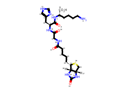 NCCCC[C@H](NC(=O)[C@H](Cc1c[nH]cn1)NC(=O)CNC(=O)CCCC[C@@H]1SC[C@@H]2NC(=O)N[C@@H]21)C(=O)O